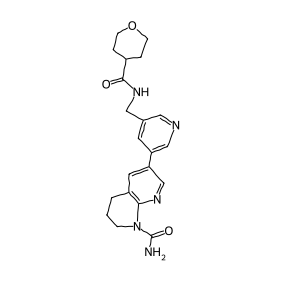 NC(=O)N1CCCc2cc(-c3cncc(CNC(=O)C4CCOCC4)c3)cnc21